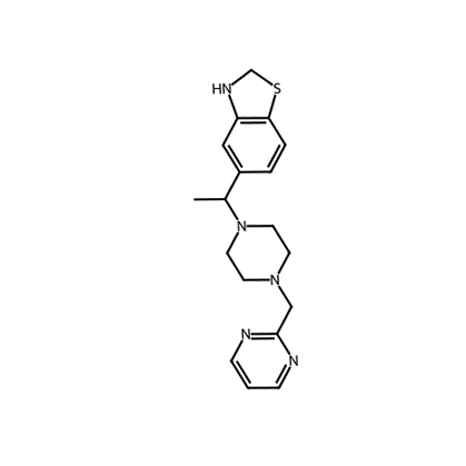 CC(c1ccc2c(c1)NCS2)N1CCN(Cc2ncccn2)CC1